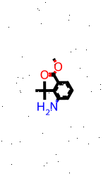 COC(=O)c1cccc(N)c1C(C)(C)C